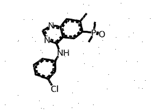 Cc1cc2ncnc(Nc3cccc(Cl)c3)c2cc1P(C)(C)=O